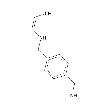 C/C=C\NCc1ccc(CN)cc1